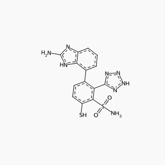 Nc1nc2cccc(-c3ccc(S)c(S(N)(=O)=O)c3-c3nn[nH]n3)c2[nH]1